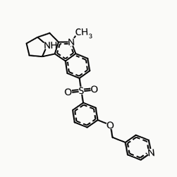 Cn1c2c(c3cc(S(=O)(=O)c4cccc(OCc5ccncc5)c4)ccc31)C1CCC(C2)N1